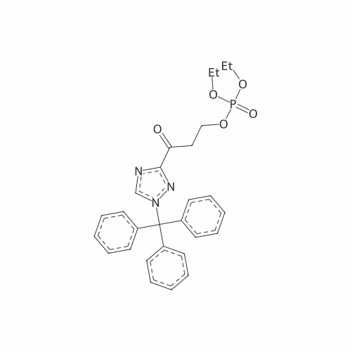 CCOP(=O)(OCC)OCCC(=O)c1ncn(C(c2ccccc2)(c2ccccc2)c2ccccc2)n1